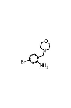 Nc1cc(Br)ccc1CN1CCOCC1